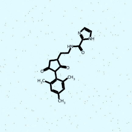 Cc1cc(C)c(C2C(=O)CC(CCNC(=O)c3ncc[nH]3)C2=O)c(C)c1